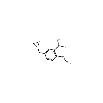 COc1ccc(CC2CC2)cc1B(O)O